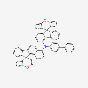 c1ccc(-c2ccc(N(c3cccc4c3-c3ccccc3C43c4ccccc4Oc4ccccc43)c3cccc4c5c(ccc34)-c3ccccc3C53c4ccccc4Oc4ccccc43)cc2)cc1